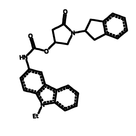 CCn1c2ccccc2c2cc(NC(=O)OC3CC(=O)N(C4Cc5ccccc5C4)C3)ccc21